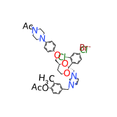 CC(=O)Oc1ccc(C[n+]2ccn(C[C@]3(c4ccc(Cl)cc4Cl)OCC[C@@H](COc4ccc(N5CCN(C(C)=O)CC5)cc4)O3)c2)cc1C.[Br-]